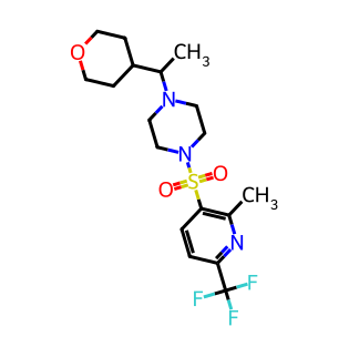 Cc1nc(C(F)(F)F)ccc1S(=O)(=O)N1CCN(C(C)C2CCOCC2)CC1